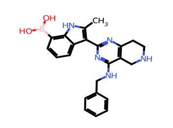 Cc1[nH]c2c(B(O)O)cccc2c1-c1nc2c(c(NCc3ccccc3)n1)CNCC2